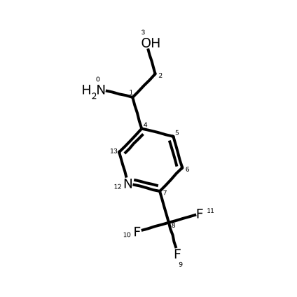 NC(CO)c1ccc(C(F)(F)F)nc1